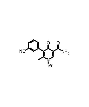 Cc1c(-c2cccc(C#N)c2)c(=O)c(C(N)=O)cn1C(C)C